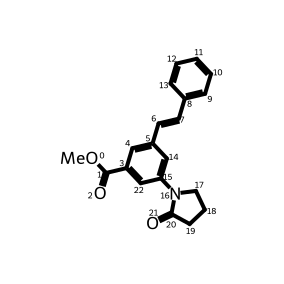 COC(=O)c1cc(C=Cc2ccccc2)cc(N2CCCC2=O)c1